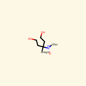 CCCCCCCCCC[NH+]([O-])C(CCO)(CCO)CCCCCCC